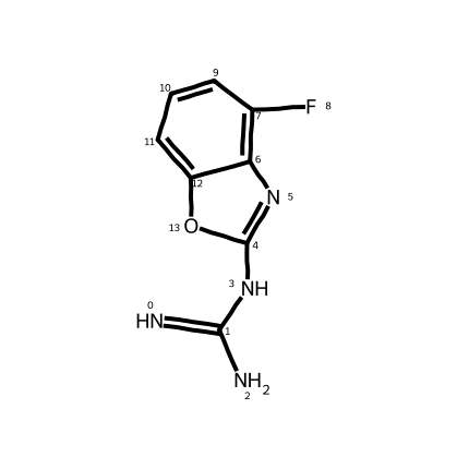 N=C(N)Nc1nc2c(F)cccc2o1